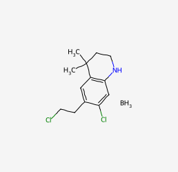 B.CC1(C)CCNc2cc(Cl)c(CCCl)cc21